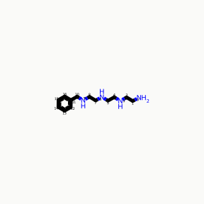 NCCNCCNCCNCc1ccccc1